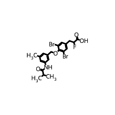 Cc1cc(COc2c(Br)cc(CC(F)C(=O)O)cc2Br)cc(NC(=O)C(C)C)c1